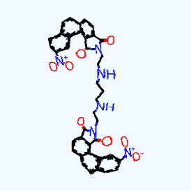 O=C1c2ccc3ccc4ccc([N+](=O)[O-])cc4c3c2C(=O)N1CCNCCCNCCN1C(=O)c2ccc3ccc4ccc([N+](=O)[O-])cc4c3c2C1=O